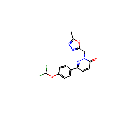 Cc1nnc(Cn2nc(-c3ccc(OC(F)F)cc3)ccc2=O)o1